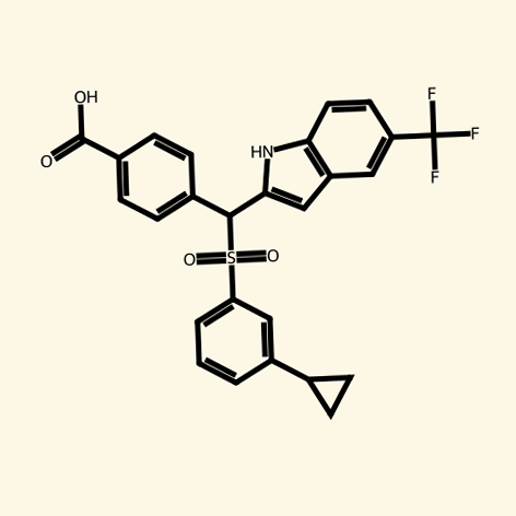 O=C(O)c1ccc(C(c2cc3cc(C(F)(F)F)ccc3[nH]2)S(=O)(=O)c2cccc(C3CC3)c2)cc1